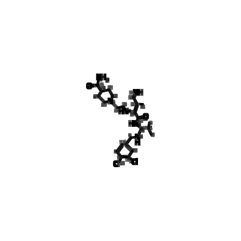 CC(C)=C(NCc1ccc(Cl)c(Cl)c1)NC(=O)/C(NCCN1CCC(C(N)=O)CC1)=C(\C)C=N